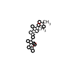 Cc1c(C2=c3ccccc3=C(C3=CC=CC4c5cc(-c6c7ccccc7c(-c7cccc8c9ccccc9n(-c9ccccc9)c78)c7ccccc67)ccc5SC34)C3C=CC=CC23)cccc1-c1ccccc1C(C)c1ccccc1